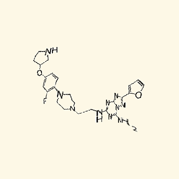 Nc1nc(NCCN2CCN(c3ccc(OC4CCNC4)cc3F)CC2)nc2nc(-c3ccco3)nn12